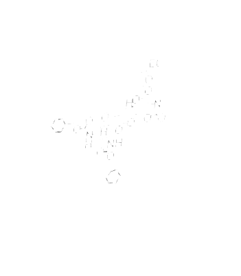 CCC1O[C@H](OC2O[C@H]3CC(C)[C@@H](O[C@@H]4C(NC(=O)OCc5ccccc5)C[C@@H](NC(=O)OCc5ccccc5)C5O[C@H]54)OC3C3OC(=O)N(C)C23)C(C)C[C@@H]1C